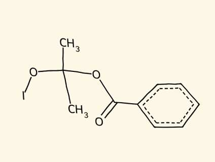 CC(C)(OI)OC(=O)c1ccccc1